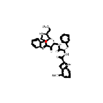 COCC1NCC[C@H]1C[C@H](NC(=O)[C@H](Cc1ccccc1)NC(=O)c1cc2c(OC)cccc2[nH]1)C(=O)C1=NC2C=CC=CC2S1